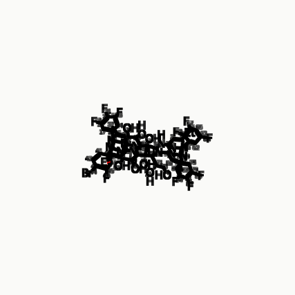 CCc1cc(NC[C@](O)(C(Nc2cc(CC)nc(-c3cc(F)c(F)c(F)c3)n2)C(O)CO)[C@](O)(C(Nc2cc(C)nc(-c3ccc(Br)c(F)c3)n2)C(O)CO)C(Nc2cc(C)nc(-c3cc(F)cc(F)c3F)n2)[C@@H](O)CO)nc(-c2cc(F)c(F)c(F)c2)n1